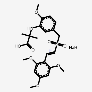 COc1cc(OC)c(/C=C/S(=O)(=O)Cc2ccc(OC)c(NC(C)(C)C(=O)O)c2)c(OC)c1.[NaH]